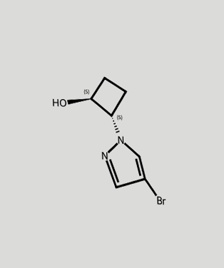 O[C@H]1CC[C@@H]1n1cc(Br)cn1